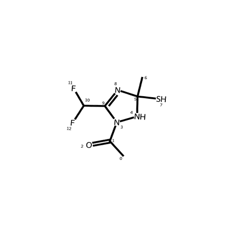 CC(=O)N1NC(C)(S)N=C1C(F)F